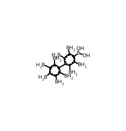 Bc1c(B)c(B)c(-c2c(B)c(B)c(B(O)O)c(B)c2B)c(B)c1B